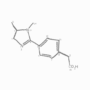 CC1CN=C(c2ccc(CC(=O)O)cc2)N1C